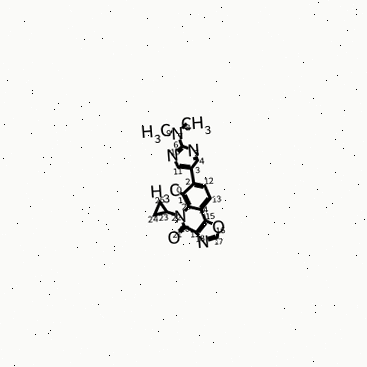 Cc1c(-c2cnc(N(C)C)nc2)ccc2c3ocnc3c(=O)n(C3CC3)c12